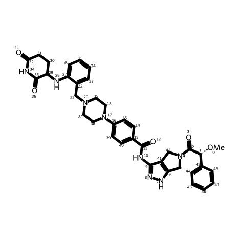 CO[C@@H](C(=O)N1Cc2[nH]nc(NC(=O)c3ccc(N4CCN(Cc5ccccc5NC5CCC(=O)NC5=O)CC4)cc3)c2C1)c1ccccc1